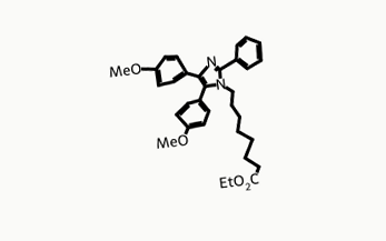 CCOC(=O)CCCCCCCn1c(-c2ccccc2)nc(-c2ccc(OC)cc2)c1-c1ccc(OC)cc1